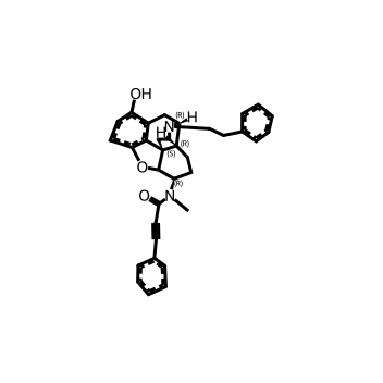 CN(C(=O)C#Cc1ccccc1)[C@@H]1CC[C@H]2[C@H]3Cc4c(O)ccc5c4[C@@]2(CCN3CCc2ccccc2)C1O5